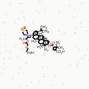 C=C(C)[C@@H]1CC[C@]2(NCC(C(C)OC(=O)COCCOC)N3CCS(=O)(=O)CC3)CC[C@]3(C)[C@H](CC[C@@H]4[C@@]5(C)CC[C@H](OC(=O)[C@H]6C[C@@H](C(=O)O)C6(C)C)C(C)(C)[C@@H]5CC[C@]43C)[C@@H]12